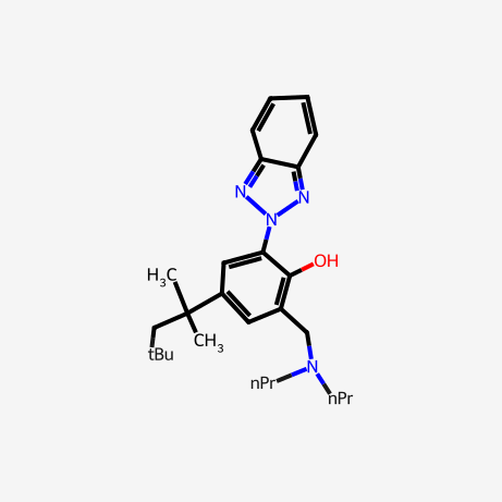 CCCN(CCC)Cc1cc(C(C)(C)CC(C)(C)C)cc(-n2nc3ccccc3n2)c1O